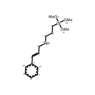 CO[Si](CCCNCC=Cc1ccccc1)(OC)OC